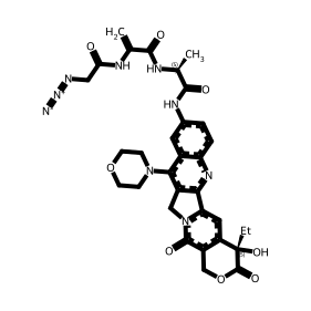 C=C(NC(=O)CN=[N+]=[N-])C(=O)N[C@@H](C)C(=O)Nc1ccc2nc3c(c(N4CCOCC4)c2c1)Cn1c-3cc2c(c1=O)COC(=O)[C@]2(O)CC